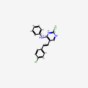 Fc1ccc(/C=C/c2cnc(Cl)nc2Nc2ccccc2)cc1